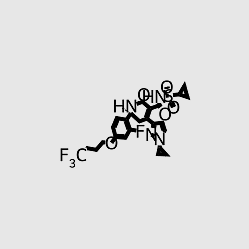 C[C@@]1(c2ccc(OCCCC(F)(F)F)cc2F)CC(c2ccn(C3CC3)n2)=C(C(=O)NS(=O)(=O)C2CC2)C(=O)N1